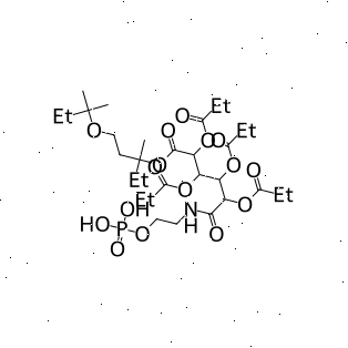 CCC(=O)OC(C(=O)NCCOP(=O)(O)O)C(OC(=O)CC)C(OC(=O)CC)C(OC(=O)CC)C(=O)OC(C)(CC)CCOC(C)(C)CC